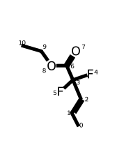 CC=CC(F)(F)C(=O)OCC